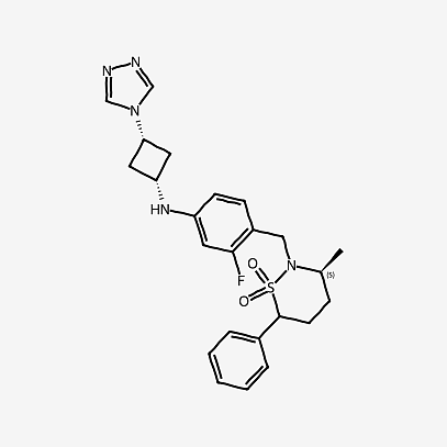 C[C@H]1CCC(c2ccccc2)S(=O)(=O)N1Cc1ccc(N[C@H]2C[C@@H](n3cnnc3)C2)cc1F